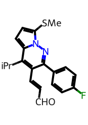 CSc1ccc2c(C(C)C)c(C=CC=O)c(-c3ccc(F)cc3)nn12